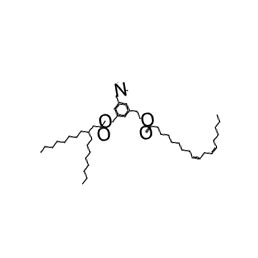 CCCCC/C=C\C/C=C\CCCCCCCC(=O)OCCc1cc(COC(=O)CC(CCCCCCCC)CCCCCCCC)cc(CN(C)C)c1